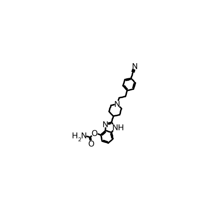 N#Cc1ccc(CCN2CCC(c3nc4c(OC(N)=O)cccc4[nH]3)CC2)cc1